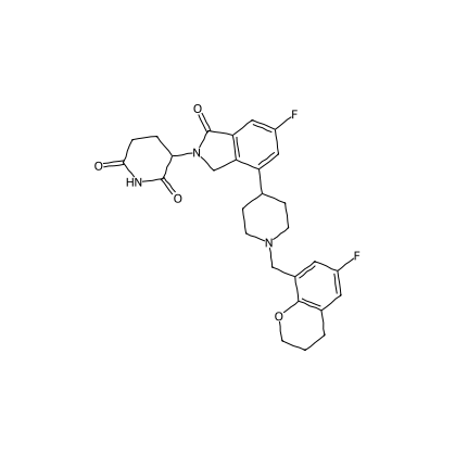 O=C1CCC(N2Cc3c(cc(F)cc3C3CCN(Cc4cc(F)cc5c4OCCC5)CC3)C2=O)C(=O)N1